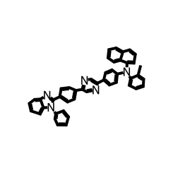 Cc1ccccc1N(c1ccc(-c2cnc(-c3ccc(-c4nc5ccccc5n4-c4ccccc4)cc3)cn2)cc1)c1cccc2ccccc12